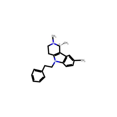 Cc1ccc2c(c1)c1c(n2CCc2ccccc2)CCN(C)[C@@H]1C